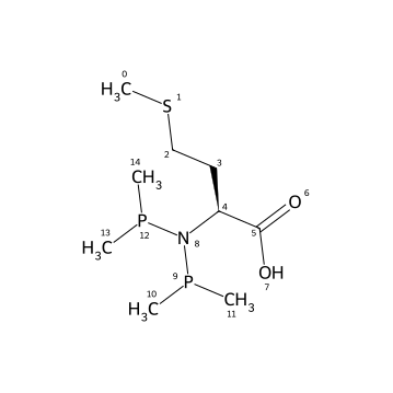 CSCC[C@@H](C(=O)O)N(P(C)C)P(C)C